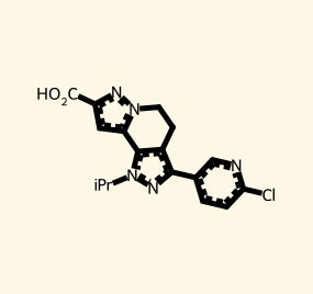 CC(C)n1nc(-c2ccc(Cl)nc2)c2c1-c1cc(C(=O)O)nn1CC2